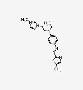 CCN(CCn1cc[n+](C)c1)c1ccc(N=Nc2ncc(C)s2)cc1